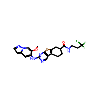 COc1cn2nccc2cc1Nc1ncc2c3c(sc2n1)CC(C(=O)NCCC(F)(F)F)CC3